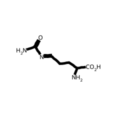 NC(=O)N=CCCC(N)C(=O)O